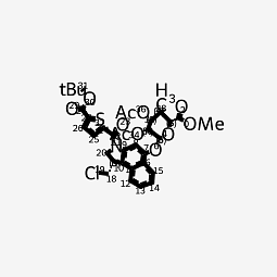 COC(=O)[C@H]1O[C@@H](Oc2cc3c(c4ccccc24)[C@H](CCl)CN3C(=O)c2ccc(C(=O)OC(C)(C)C)s2)[C@H](OC(C)=O)[C@@H](OC(C)=O)[C@@H]1C